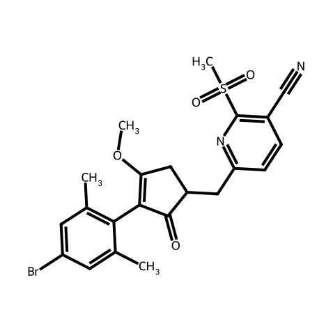 COC1=C(c2c(C)cc(Br)cc2C)C(=O)C(Cc2ccc(C#N)c(S(C)(=O)=O)n2)C1